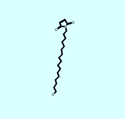 O=C1C=CC(=O)N1CCCCCCCCCCCCCCCCC[S]